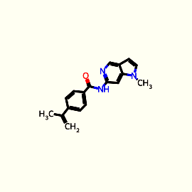 C=C(C)c1ccc(C(=O)Nc2cc3c(ccn3C)cn2)cc1